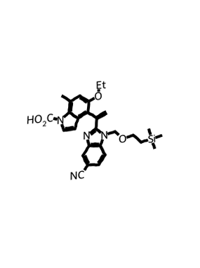 C=C(c1c(OCC)cc(C)c2c1ccn2C(=O)O)c1nc2cc(C#N)ccc2n1COCC[Si](C)(C)C